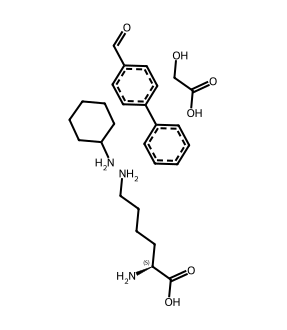 NC1CCCCC1.NCCCC[C@H](N)C(=O)O.O=C(O)CO.O=Cc1ccc(-c2ccccc2)cc1